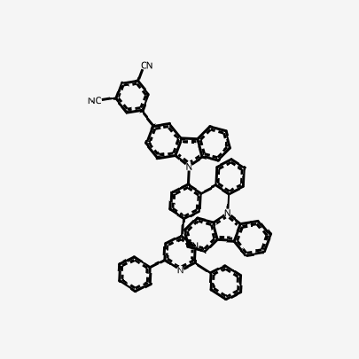 N#Cc1cc(C#N)cc(-c2ccc3c(c2)c2ccccc2n3-c2ccc(-c3cc(-c4ccccc4)nc(-c4ccccc4)n3)cc2-c2ccccc2-n2c3ccccc3c3ccccc32)c1